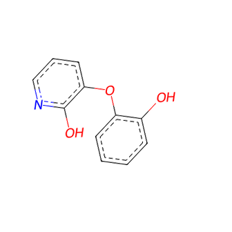 Oc1ccccc1Oc1cccnc1O